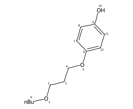 CCCCOCCCOc1ccc(O)cc1